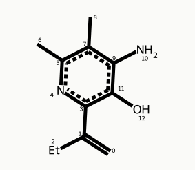 C=C(CC)c1nc(C)c(C)c(N)c1O